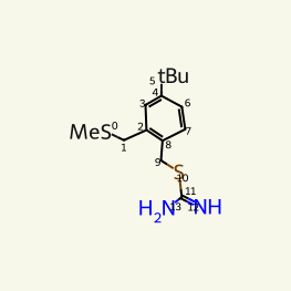 CSCc1cc(C(C)(C)C)ccc1CSC(=N)N